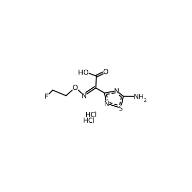 Cl.Cl.Nc1nc(C(=NOCCF)C(=O)O)ns1